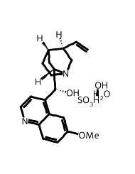 C=C[C@H]1CN2CC[C@H]1C[C@H]2[C@H](O)c1ccnc2ccc(OC)cc12.O.O=S(=O)(O)O